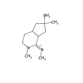 BC1(C)CC2CCN(C)/C(=N\C)C2C1